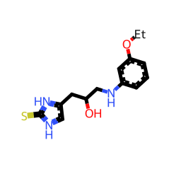 CCOc1cccc(NCC(O)Cc2c[nH]c(=S)[nH]2)c1